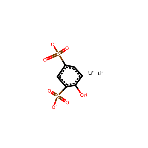 O=S(=O)([O-])c1ccc(O)c(S(=O)(=O)[O-])c1.[Li+].[Li+]